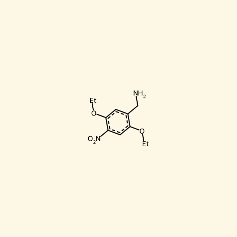 CCOc1cc([N+](=O)[O-])c(OCC)cc1CN